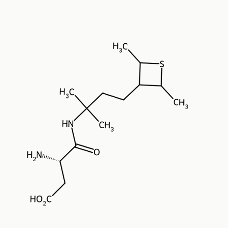 CC1SC(C)C1CCC(C)(C)NC(=O)[C@@H](N)CC(=O)O